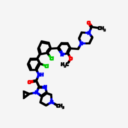 COc1nc(-c2cccc(-c3cccc(NC(=O)c4nc5c(n4C4CC4)CCN(C)C5)c3Cl)c2Cl)ccc1CN1CCN(C(C)=O)CC1